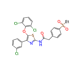 CCS(=O)(=O)c1ccc(CC(=O)Nc2nc(-c3cccc(Cl)c3)c(Oc3c(Cl)cccc3Cl)s2)cc1